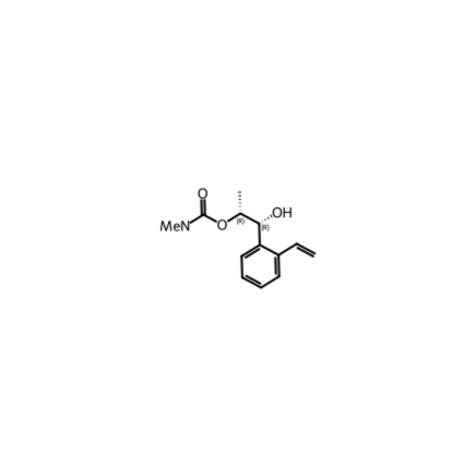 C=Cc1ccccc1[C@@H](O)[C@@H](C)OC(=O)NC